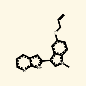 C=CCOc1ccc2c(c1)c(-c1cc3cccnc3[nH]1)cn2C